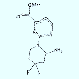 COC(=O)c1ccnc(N2CCC(F)(F)CC2N)n1